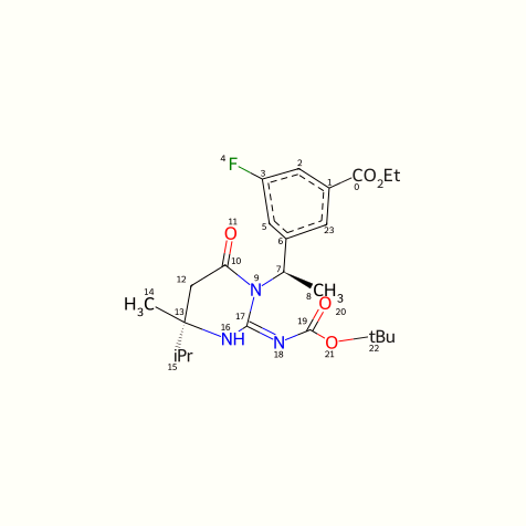 CCOC(=O)c1cc(F)cc([C@@H](C)N2C(=O)C[C@@](C)(C(C)C)N/C2=N/C(=O)OC(C)(C)C)c1